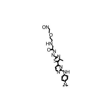 Cc1nc(N=NC(=O)CNCCOCCN=O)sc1-c1ccnc(Nc2ccc(N(C)C)cc2)n1